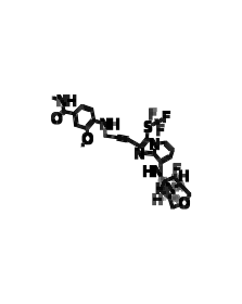 CNC(=O)c1ccc(NCC#Cc2nc3c(N[C@H]4C[C@@H]5COC[C@@H](N5)[C@H]4F)cccn3c2SC(F)(F)F)c(OC)c1